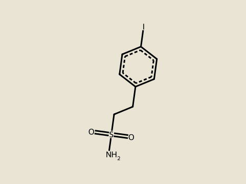 NS(=O)(=O)CCc1ccc(I)cc1